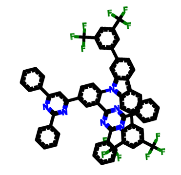 FC(F)(F)c1cc(-c2ccc3c4ccc(-c5cc(C(F)(F)F)cc(C(F)(F)F)c5)cc4n(-c4ccc(-c5cc(-c6ccccc6)nc(-c6ccccc6)n5)cc4-c4nc(-c5ccccc5)nc(-c5ccccc5)n4)c3c2)cc(C(F)(F)F)c1